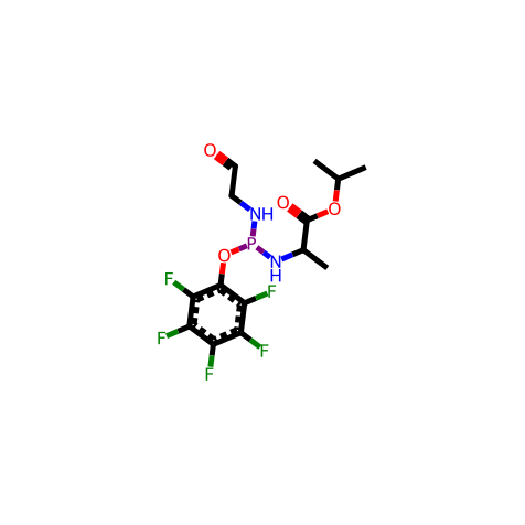 CC(C)OC(=O)C(C)NP(NCC=O)Oc1c(F)c(F)c(F)c(F)c1F